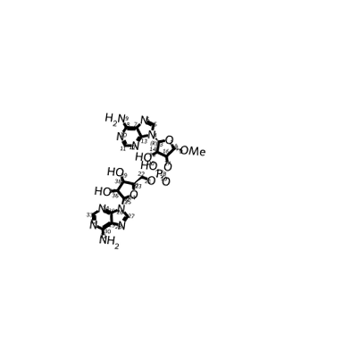 CO[C@H]1O[C@@H](n2cnc3c(N)ncnc32)C(O)C1OP(=O)(O)OC[C@H]1O[C@@H](n2cnc3c(N)ncnc32)C(O)C1O